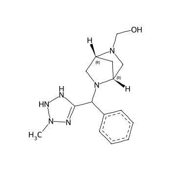 CN1N=C(C(c2ccccc2)N2C[C@H]3C[C@@H]2CN3CO)NN1